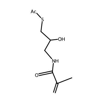 C=C(C)C(=O)NCC(O)CSC(C)=O